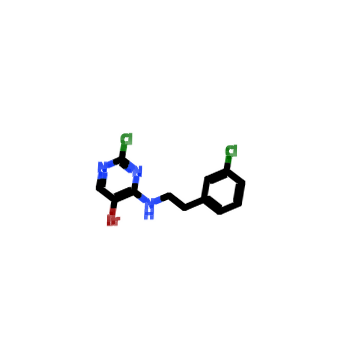 Clc1cccc(CCNc2nc(Cl)ncc2Br)c1